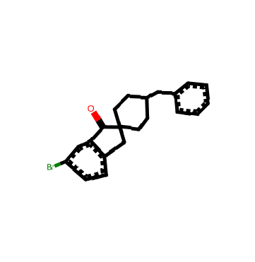 O=C1c2cc(Br)ccc2CC12CCC(Cc1ccccc1)CC2